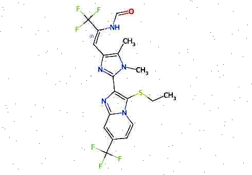 CCSc1c(-c2nc(/C=C(\NC=O)C(F)(F)F)c(C)n2C)nc2cc(C(F)(F)F)ccn12